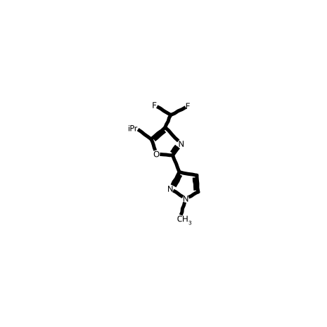 CC(C)c1oc(-c2ccn(C)n2)nc1C(F)F